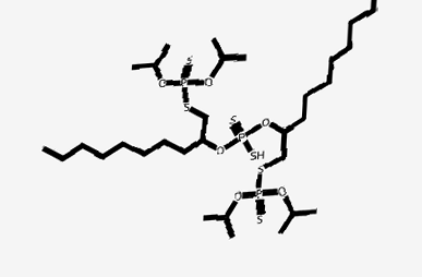 CCCCCCCCC(CSP(=S)(OC(C)C)OC(C)C)OP(=S)(S)OC(CCCCCCCC)CSP(=S)(OC(C)C)OC(C)C